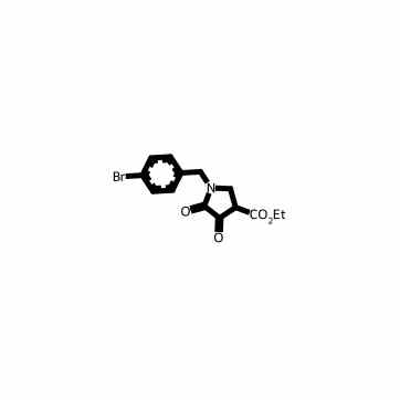 CCOC(=O)C1CN(Cc2ccc(Br)cc2)C(=O)C1=O